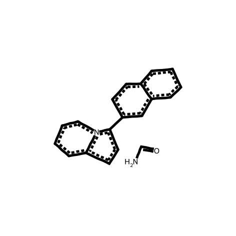 NC=O.c1ccc2cc(-c3ccc4ccccn34)ccc2c1